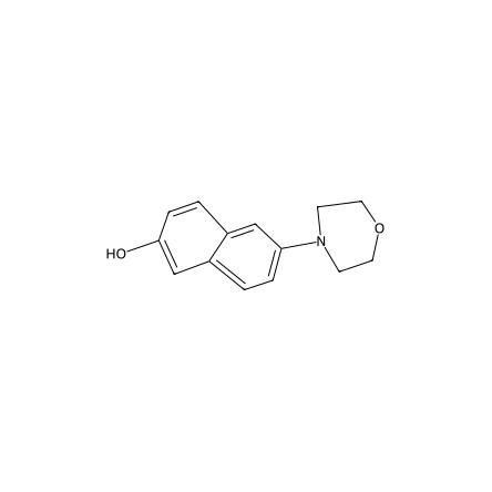 Oc1ccc2cc(N3CCOCC3)ccc2c1